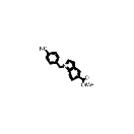 COC(=O)c1ccc2c(ccn2Cc2ccc(C#N)cc2)c1